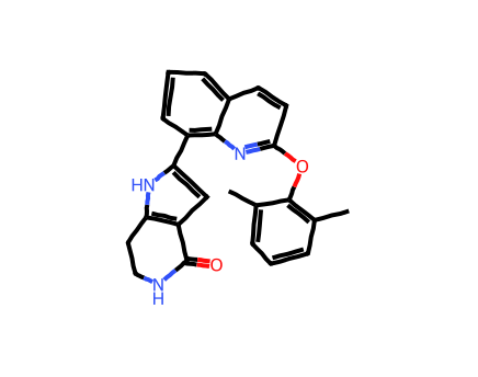 Cc1cccc(C)c1Oc1ccc2cccc(-c3cc4c([nH]3)CCNC4=O)c2n1